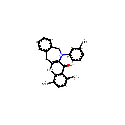 CC(=O)Oc1ccc(OC(C)=O)c2c1BC1=C(C2=O)N(c2cccc(C=O)c2)Cc2ccccc2C1